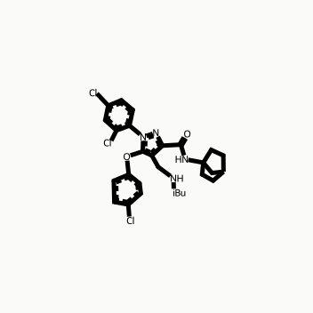 CCC(C)NCc1c(C(=O)NC23CCC(CC2)C3)nn(-c2ccc(Cl)cc2Cl)c1Oc1ccc(Cl)cc1